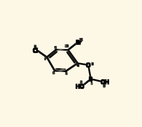 OB(O)Oc1ccc(Cl)cc1Br